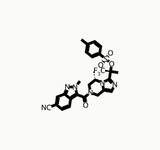 Cc1ccc(S(=O)(=O)O[C@](C)(c2ncc3n2[C@@H](C)CN(C(=O)c2c4ccc(C#N)cc4nn2C)C3)C(F)(F)F)cc1